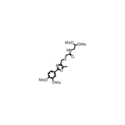 COc1ccc(-c2nc(CSCC(=O)NCC(OC)OC)c(C)o2)cc1OC